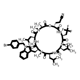 CC(C)C[C@@H]1NC(=O)[C@H](Cc2cn(Cc3ccc(Br)cc3)c3ccccc23)N(C)C(=O)[C@H](CC(C)C)NC(=O)[C@H](CC(C)C)N(C)C(=O)[C@H](CC(F)(F)F)NC(=O)[C@@H](CCC#N)OC(=O)[C@H](C)N(C)C1=O